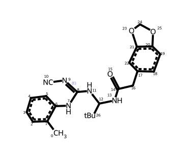 Cc1ccccc1N/C(=N\C#N)NC(NC(=O)Cc1ccc2c(c1)OCO2)C(C)(C)C